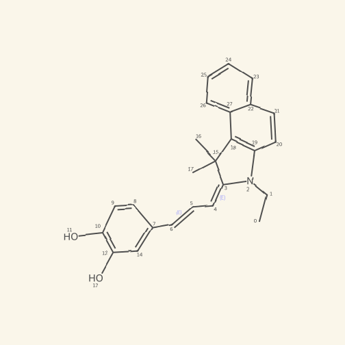 CCN1/C(=C/C=C/c2ccc(O)c(O)c2)C(C)(C)c2c1ccc1ccccc21